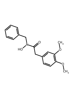 COc1ccc(CC(=O)N(O)Cc2ccccc2)cc1OC